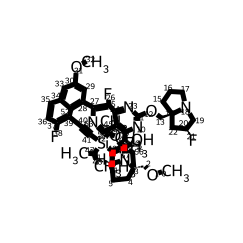 COC[C@@]12CC[C@@H](CN(c3nc(OC[C@@]45CCCN4C[C@H](F)C5)nc4c(F)c(-c5cc(OC)cc6ccc(F)c(C#C[Si](C(C)C)(C(C)C)C(C)C)c56)ncc34)C1)N2C(=O)O